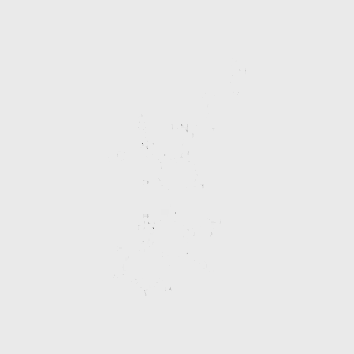 O=c1c(O)c(-c2ccc(NCCCO)c([N+](=O)[O-])c2)[nH]c2ccccc12